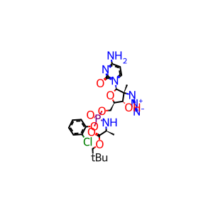 C[C@H](NP(=O)(OC[C@H]1O[C@@H](n2ccc(N)nc2=O)[C@](C)(N=[N+]=[N-])[C@@H]1O)Oc1ccccc1Cl)C(=O)OCC(C)(C)C